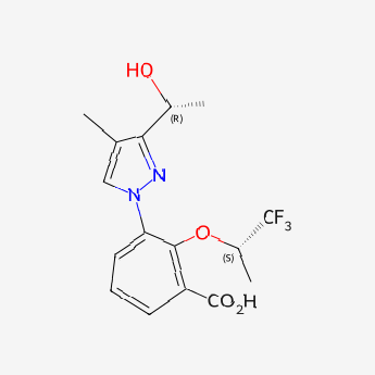 Cc1cn(-c2cccc(C(=O)O)c2O[C@@H](C)C(F)(F)F)nc1[C@@H](C)O